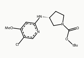 COc1cc(N[C@@H]2CCN(C(=O)OC(C)(C)C)C2)ncc1Cl